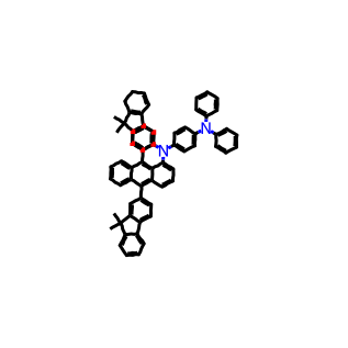 CC1(C)C2=C(C=CCC2)c2ccc(-c3c4ccccc4c(-c4ccc5c(c4)C(C)(C)c4ccccc4-5)c4cccc(N(c5ccccc5)c5ccc(N(c6ccccc6)c6ccccc6)cc5)c34)cc21